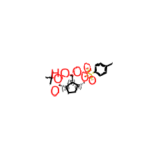 Cc1ccc(S(=O)(=O)OC[C@@H]2CC[C@H](C(=O)OC(C)(C)C)[C@H]2C(=O)O)cc1